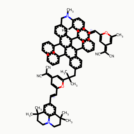 CC1=CC(=C(C#N)C#N)C=C(/C=C/c2ccc(N(C)Cc3ccc4c(-c5ccccc5)c5c(-c6ccccc6)c6cc(CC(C)(C)C7=CC(=C(C#N)C#N)C=C(/C=C/c8cc9c%10c(c8)C(C)(C)CCN%10CCC9(C)C)O7)ccc6c(-c6ccccc6)c5c(-c5ccccc5)c4c3)c(C)c2)O1